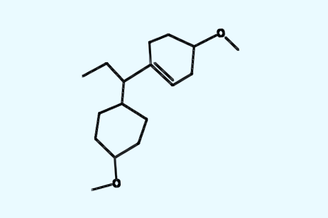 CCC(C1=CCC(OC)CC1)C1CCC(OC)CC1